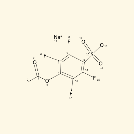 CC(=O)Oc1c(F)c(F)c(S(=O)(=O)[O-])c(F)c1F.[Na+]